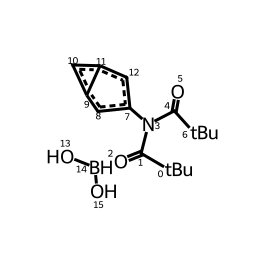 CC(C)(C)C(=O)N(C(=O)C(C)(C)C)c1cc2cc-2c1.OBO